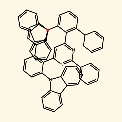 C1=CCC(c2cccc(-n3c4ccccc4c4ccccc43)c2-c2cc(-c3c(C4=CCCC=C4)cccc3-n3c4ccccc4c4ccccc43)nc(-c3ccccc3)n2)C=C1